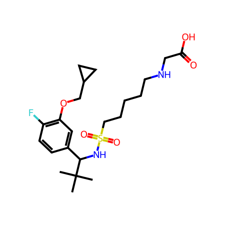 CC(C)(C)C(NS(=O)(=O)CCCCCNCC(=O)O)c1ccc(F)c(OCC2CC2)c1